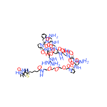 C[C@H](CCCNC(=N)N)NC(=O)[C@@H]1CCCN1C(=O)[C@H](Cc1ccccc1)NC(=O)[C@H](CC(N)=O)NC(=O)CNC(=O)[C@H](CC(=O)O)NC(=O)CNC(=O)[C@H](CO)NC(=O)[C@H](CC(N)=O)NC(=O)[C@@H]1CCCN1C(=O)COCCOCCOCCNC(=O)CCCC[C@H]1SC[C@H]2NC(=O)N[C@H]21